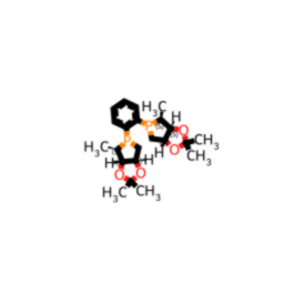 C[C@H]1[C@H]2OC(C)(C)O[C@@H]2CP1c1ccccc1P1C[C@H]2OC(C)(C)O[C@@H]2[C@@H]1C